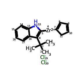 CC(C)(C)c1[c]([Zr+2][C]2=CC=CC2)[nH]c2ccccc12.[Cl-].[Cl-]